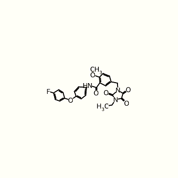 CCN1C(=O)C(=O)N(Cc2ccc(OC)c(C(=O)Nc3ccc(Oc4ccc(F)cc4)cc3)c2)C1=O